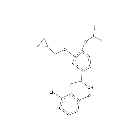 OC(Cc1c(Cl)cccc1Cl)c1ccc(OC(F)F)c(OCC2CC2)c1